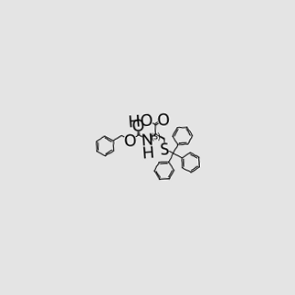 O=C(N[C@H](CSC(c1ccccc1)(c1ccccc1)c1ccccc1)C(=O)O)OCc1ccccc1